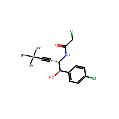 CC(C)[Si](C#C[C@H](NC(=O)CCl)[C@H](O)c1ccc(Cl)cc1)(C(C)C)C(C)C